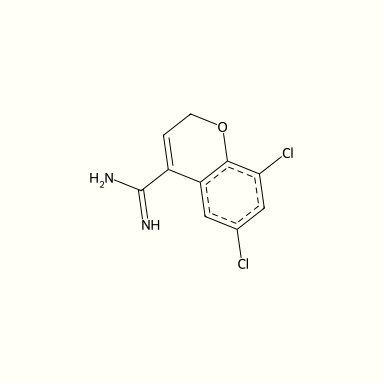 N=C(N)C1=CCOc2c(Cl)cc(Cl)cc21